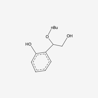 CCCCOC(CO)c1ccccc1O